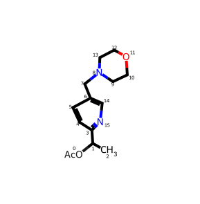 CC(=O)OC(C)c1ccc(CN2CCOCC2)cn1